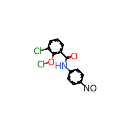 O=Nc1ccc(NC(=O)c2cccc(Cl)c2OCl)cc1